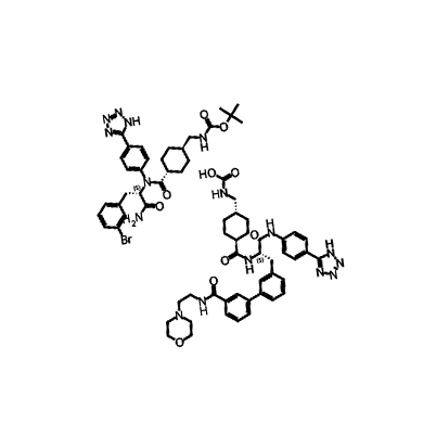 CC(C)(C)OC(=O)NC[C@H]1CC[C@H](C(=O)N(c2ccc(-c3nnn[nH]3)cc2)[C@@H](Cc2cccc(Br)c2)C(N)=O)CC1.O=C(O)NC[C@H]1CC[C@H](C(=O)N[C@@H](Cc2cccc(-c3cccc(C(=O)NCCN4CCOCC4)c3)c2)C(=O)Nc2ccc(-c3nnn[nH]3)cc2)CC1